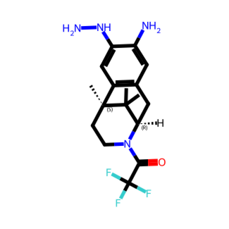 CC1(C)[C@H]2Cc3cc(N)c(NN)cc3[C@]1(C)CCN2C(=O)C(F)(F)F